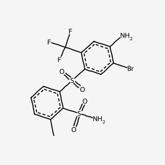 Cc1cccc(S(=O)(=O)c2cc(Br)c(N)cc2C(F)(F)F)c1S(N)(=O)=O